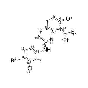 CCC(CC)n1c(=O)ccc2cnc(Nc3ccc(Br)c(Cl)c3)nc21